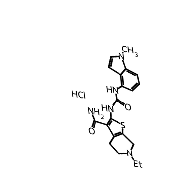 CCN1CCc2c(sc(NC(=O)Nc3cccc4c3ccn4C)c2C(N)=O)C1.Cl